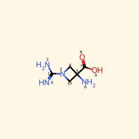 N=C(N)N1CC(N)(C(=O)O)C1